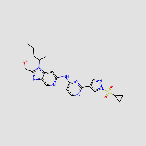 CCCC(C)n1c(CO)nc2cnc(Nc3ccnc(-c4cnn(S(=O)(=O)C5CC5)c4)n3)cc21